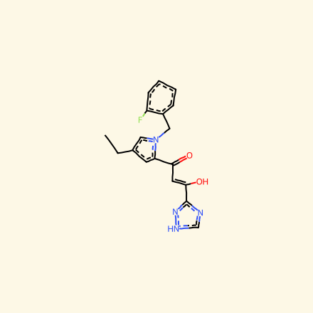 CCc1cc(C(=O)C=C(O)c2nc[nH]n2)n(Cc2ccccc2F)c1